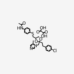 CC(=O)Nc1ccc(SCC2COC(CCc3ccc(Cl)cc3)(Cn3cncc3C)O2)cc1.O=C(O)C(=O)O